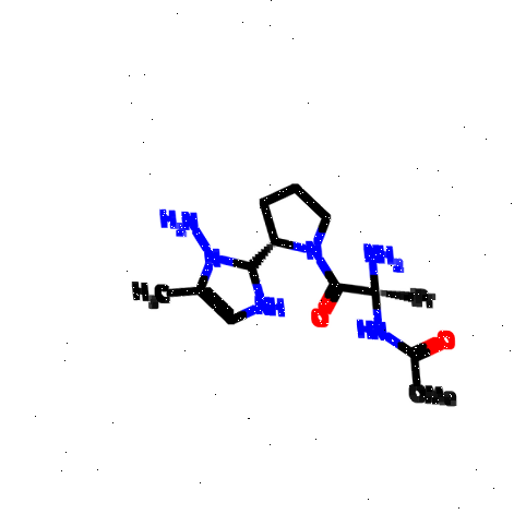 COC(=O)N[C@](N)(C(=O)N1CCC[C@H]1C1NC=C(C)N1N)C(C)C